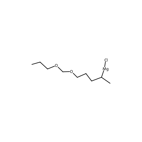 CCCOCOCCC[CH](C)[Mg][Cl]